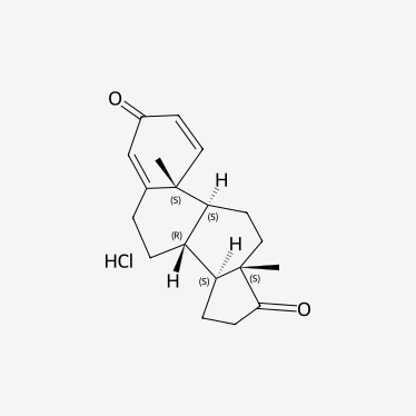 C[C@]12C=CC(=O)C=C1CC[C@@H]1[C@@H]2CC[C@]2(C)C(=O)CC[C@@H]12.Cl